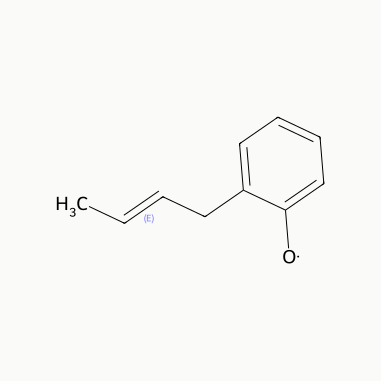 C/C=C/Cc1ccccc1[O]